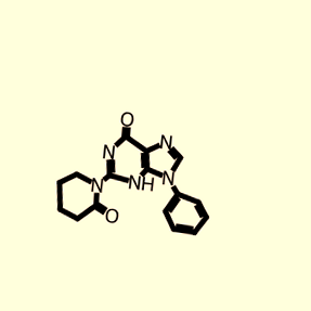 O=C1CCCCN1c1nc(=O)c2ncn(-c3ccccc3)c2[nH]1